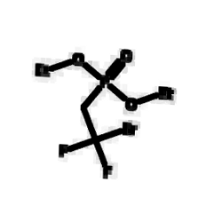 CCOP(=O)(CC(F)(F)Br)OCC